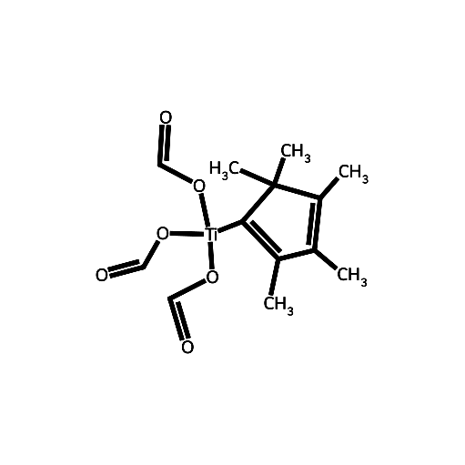 CC1=C(C)C(C)(C)[C]([Ti]([O]C=O)([O]C=O)[O]C=O)=C1C